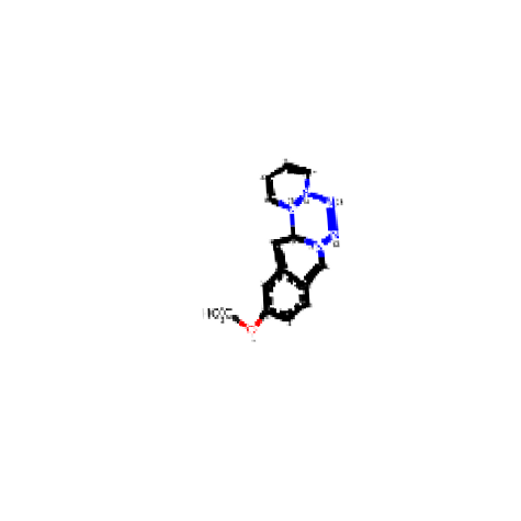 O=C(O)Oc1ccc2c(c1)=CC1N(C=2)N=NN2C=CC=CN12